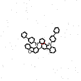 c1ccc(-c2ccc(N(c3ccccc3)c3c(-c4ccc5c(c4)c4ccccc4n5-c4ccc(-c5ccccc5)cc4)ccc4oc5ccccc5c34)cc2)cc1